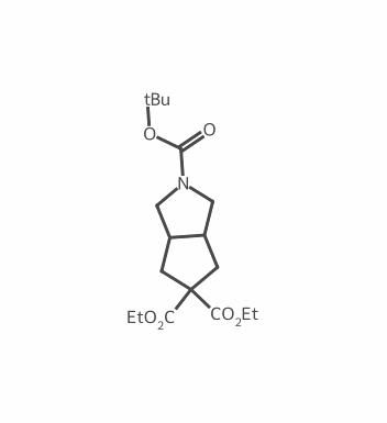 CCOC(=O)C1(C(=O)OCC)CC2CN(C(=O)OC(C)(C)C)CC2C1